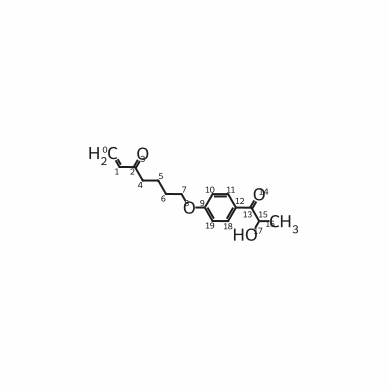 C=CC(=O)CCCCOc1ccc(C(=O)C(C)O)cc1